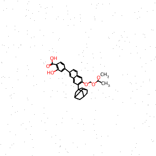 COC(C)OCOc1cc2ccc(-c3ccc(C(=O)O)c(O)c3)cc2cc1C12CC3CC(CC(C3)C1)C2